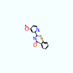 COc1ccnc(-c2nc(=O)c3ccccc3s2)c1